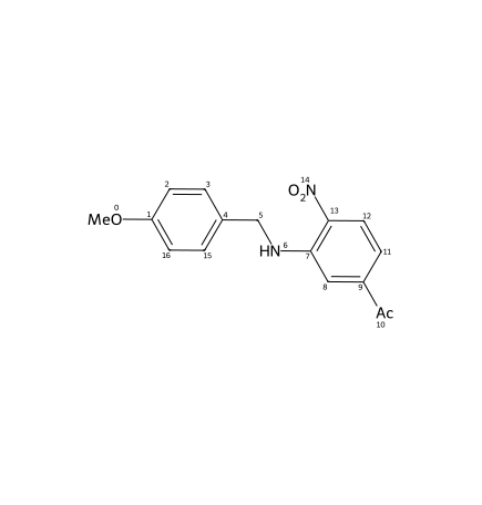 COc1ccc(CNc2cc(C(C)=O)ccc2[N+](=O)[O-])cc1